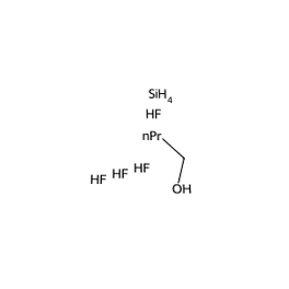 CCCCO.F.F.F.F.[SiH4]